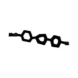 CCc1ccc(-c2ccc(C3CCC(OC)CC3)cc2)cc1